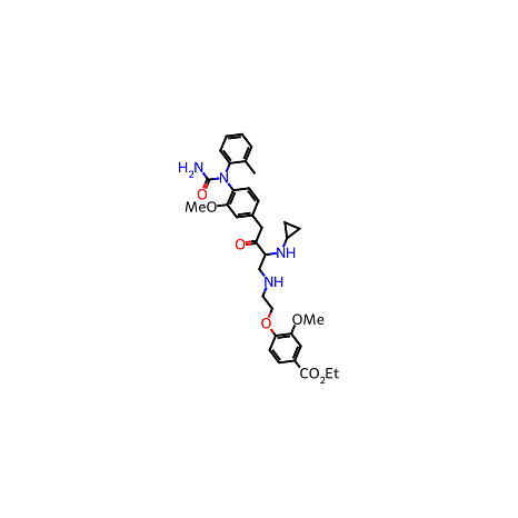 CCOC(=O)c1ccc(OCCNCC(NC2CC2)C(=O)Cc2ccc(N(C(N)=O)c3ccccc3C)c(OC)c2)c(OC)c1